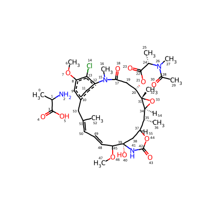 CC(N)C(=O)O.COc1cc2cc(c1Cl)N(C)C(=O)C[C@H](OC(=O)[C@H](C)N(C)C(C)=O)[C@]1(C)O[C@H]1[C@H](C)[C@@H]1C[C@@](O)(NC(=O)O1)C(OC)/C=C/C=C(\C)C2